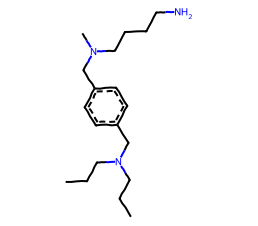 CCCN(CCC)Cc1ccc(CN(C)CCCCN)cc1